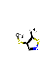 [CH2]Sc1cnsc1C